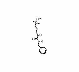 CO[Si](C)(C)CCCNC(=O)NCc1ccccc1